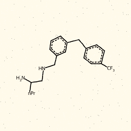 CCCC(N)CNCc1cccc(Cc2ccc(C(F)(F)F)cc2)c1